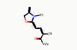 C=C1CO/C(=C/C=C(/C#N)C(=O)NC)N1CC